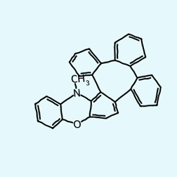 Cn1c2ccccc2oc2ccc3c4ccccc4c4ccccc4c4ccccc4c3c21